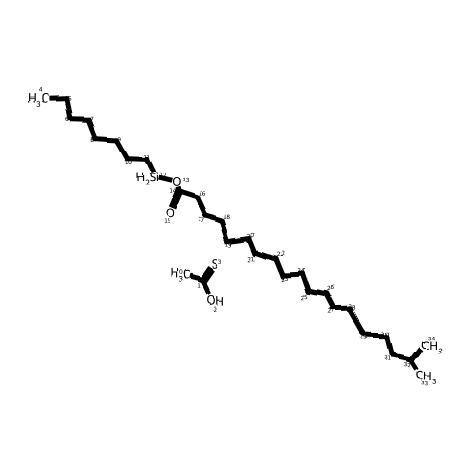 CC(O)=S.CCCCCCCC[SiH2]OC(=O)CCCCCCCCCCCCCCCCC(C)C